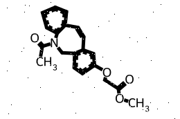 COC(=O)COc1ccc2c(c1)/C=C\c1ccccc1N(C(C)=O)C2